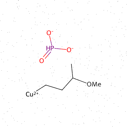 COC(C)C[CH2][Cu+2].O=[PH]([O-])[O-]